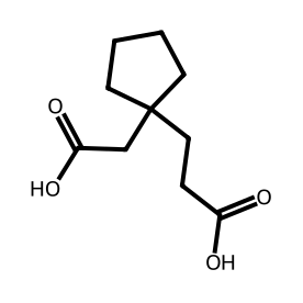 O=C(O)CCC1(CC(=O)O)CCCC1